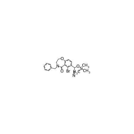 C[Si](C)(C)OC(C#N)c1ccc2c(c1Br)C(=O)N(Cc1ccccc1)CCO2